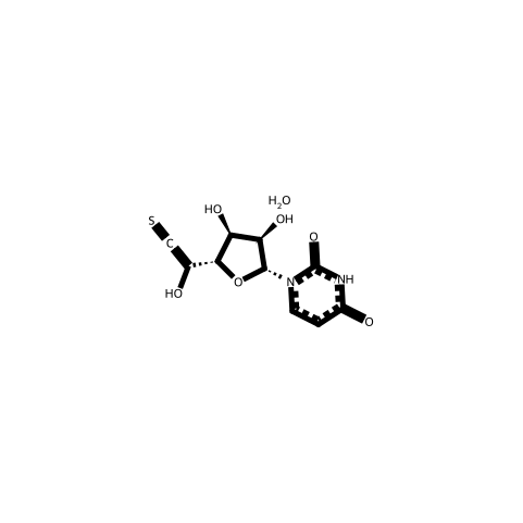 O.O=c1ccn([C@@H]2O[C@H](C(O)=C=S)[C@@H](O)[C@H]2O)c(=O)[nH]1